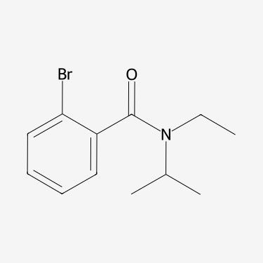 CCN(C(=O)c1ccccc1Br)C(C)C